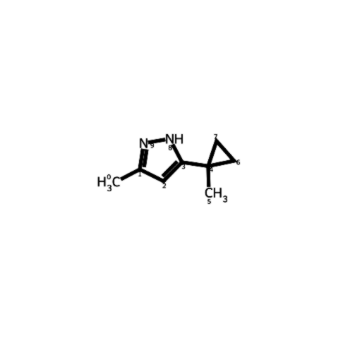 Cc1cc(C2(C)CC2)[nH]n1